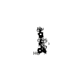 CC(C)(C)OC(=O)C1CC2CC(CC(NC(=O)c3cnc(N4C(=O)C5(C=CCC5)c5cc(O)ccc54)nc3C(F)(F)F)C2)C1